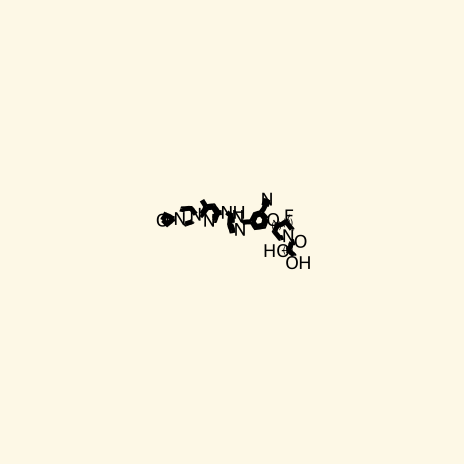 Cc1cc(Nc2ccnc(-c3ccc(O[C@H]4CCN(C(=O)[C@@H](O)CO)C[C@H]4F)c(C#N)c3)n2)cnc1N1CCN(C2COC2)CC1